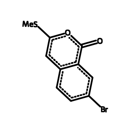 CSc1cc2ccc(Br)cc2c(=O)o1